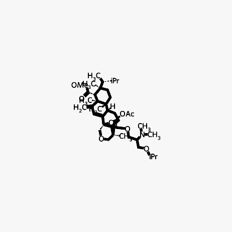 C=C1C=C2[C@H](CC[C@@H]3[C@@]24COC[C@]3(C)C(OCC(COC(C)C)N(C)C)[C@H](OC(C)=O)C4)[C@@]2(C)CC[C@](C)([C@H](C)C(C)C)[C@@H](C(=O)OC)[C@]12C